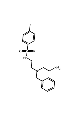 Cc1ccc(S(=O)(=O)NCCN(CCN)Cc2ccccc2)cc1